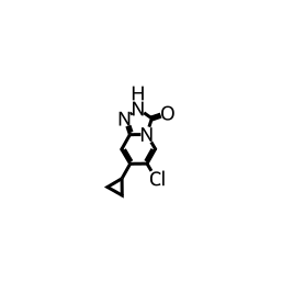 O=c1[nH]nc2cc(C3CC3)c(Cl)cn12